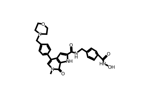 Cn1cc(-c2ccc(CN3CCOCC3)cc2)c2cc(C(=O)NCc3ccc(C(=O)NO)cc3)[nH]c2c1=O